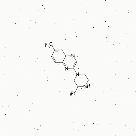 CC(C)C1CN(c2cnc3cc(C(F)(F)F)ccc3n2)CCN1